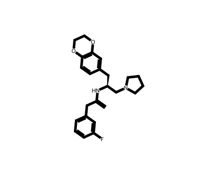 C=C(Cc1cccc(F)c1)N[C@@H](Cc1ccc2c(c1)OCCO2)CN1CCCC1